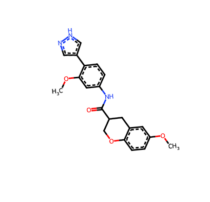 COc1ccc2c(c1)CC(C(=O)Nc1ccc(-c3cn[nH]c3)c(OC)c1)CO2